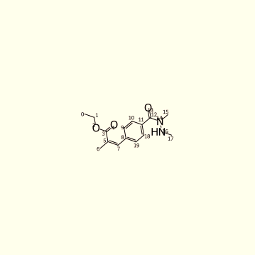 CCOC(=O)C(C)=Cc1ccc(C(=O)N(C)NC)cc1